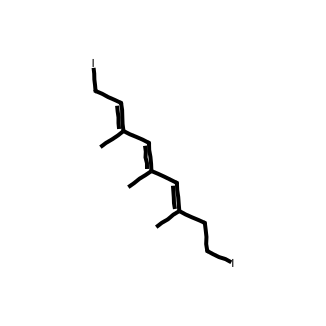 CC(=C\CI)/C=C(C)/C=C(\C)CCI